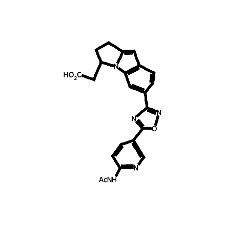 CC(=O)Nc1ccc(-c2nc(-c3ccc4cc5n(c4c3)C(CC(=O)O)CC5)no2)cn1